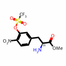 COC(=O)[C@@H](N)Cc1ccc([N+](=O)[O-])c(OS(=O)(=O)C(F)(F)F)c1